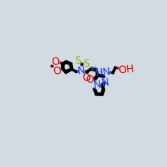 O=C1/C(=C\c2c(NCCO)nc3ccccn3c2=O)SC(=S)N1Cc1ccc2c(c1)OCO2